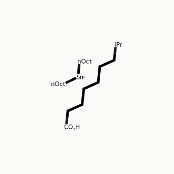 CC(C)CCCCCCC(=O)O.CCCCCCC[CH2][Sn][CH2]CCCCCCC